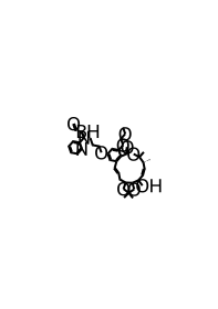 COCOc1cc(OCCCN(BC=O)c2ccccn2)cc2c1C(=O)OC(C)[C@H](C)/C=C\C(O)C1OC(C)(C)OC1C/C=C/2